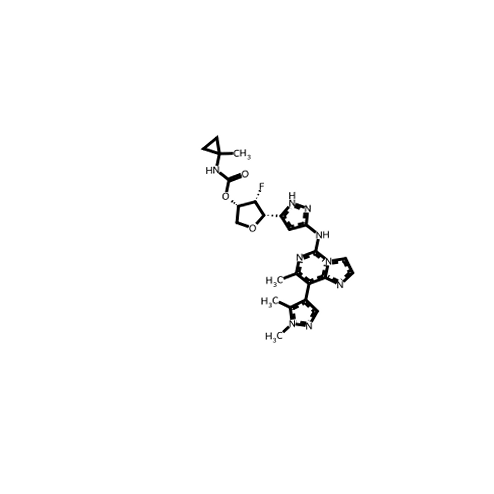 Cc1nc(Nc2cc([C@@H]3OC[C@H](OC(=O)NC4(C)CC4)[C@@H]3F)[nH]n2)n2ccnc2c1-c1cnn(C)c1C